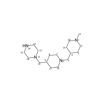 CN1CCC(CN2CCC(CN3CCNCC3)CC2)CC1